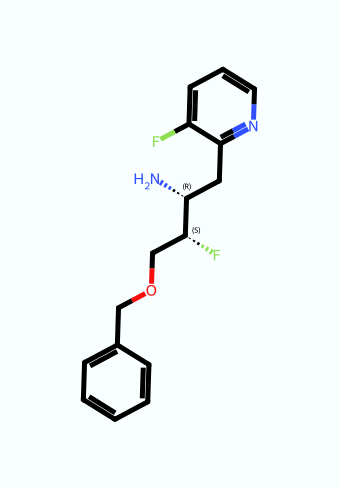 N[C@H](Cc1ncccc1F)[C@H](F)COCc1ccccc1